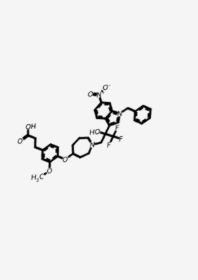 COc1cc(CCC(=O)O)ccc1OC1CCCN(CC(O)(c2cn(Cc3ccccc3)c3cc([N+](=O)[O-])ccc23)C(F)(F)F)CC1